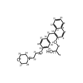 CC(O)COc1ccc2ccccc2c1Cc1ccc(OCCN2CCOCC2)cc1